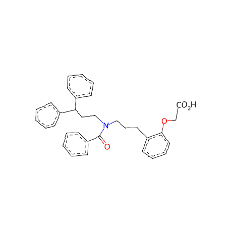 O=C(O)COc1ccccc1CCCN(CCC(c1ccccc1)c1ccccc1)C(=O)c1ccccc1